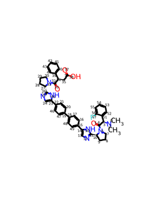 CN(C)[C@@H](C(=O)N1CCC[C@H]1c1ncc(-c2ccc(-c3ccc(-c4cnc([C@@H]5CCCN5C(=O)[C@H](CC(=O)O)c5ccccc5)[nH]4)cc3)cc2)[nH]1)c1ccccc1F